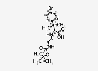 CC(C)(C)OC(=O)NCCNC(C(=O)O)C(C)(C)c1ncc(Br)cn1